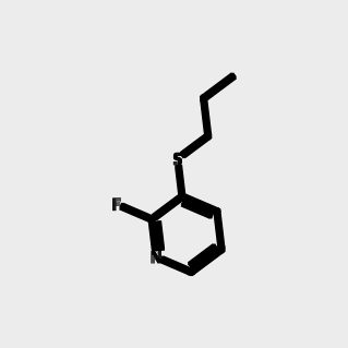 CCCSc1cccnc1F